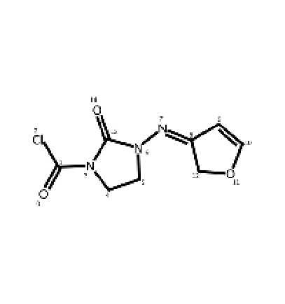 O=C(Cl)N1CCN(N=C2C=COC2)C1=O